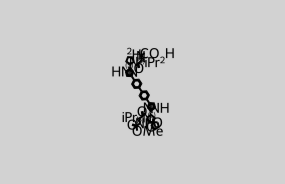 [2H]N(C(=O)O)[C@H](C(=O)N1CCC[C@H]1c1nc(-c2ccc(-c3ccc(-c4c[nH]c([C@@H]5CC6(CN5C(=O)[C@@H](NC(=O)OC)C(C)C)OCCO6)n4)cc3)cc2)c[nH]1)C(C)C